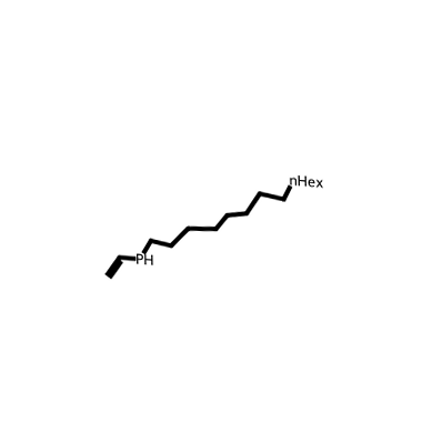 C=CPCCCCCCCCCCCCCC